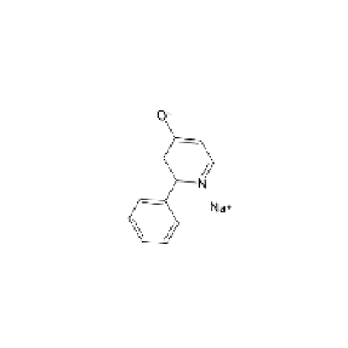 [Na+].[O-]C1=CC=NC(c2ccccc2)C1